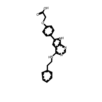 O=C(O)COc1ccc(-c2cc3c(NCCc4ccccc4)ncnc3[nH]2)cc1